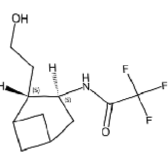 O=C(N[C@H]1CC2CC(C2)[C@@H]1CCO)C(F)(F)F